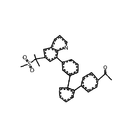 CC(=O)c1ccc(-c2ccccc2-c2cccc(-c3cc(C(C)(C)S(C)(=O)=O)cc4cccnc34)c2)cc1